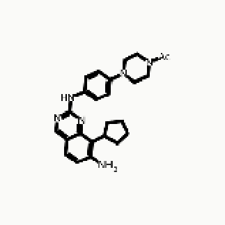 CC(=O)N1CCN(c2ccc(Nc3ncc4ccc(N)c(C5CCCC5)c4n3)cc2)CC1